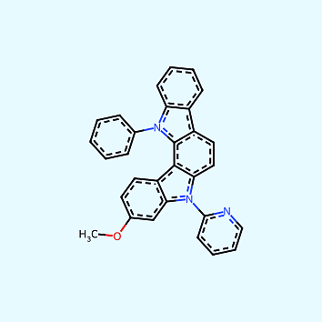 COc1ccc2c3c(ccc4c5ccccc5n(-c5ccccc5)c43)n(-c3ccccn3)c2c1